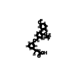 COc1ccc(F)c(-c2ccc(COc3cccc([C@H](C)CC(=O)O)c3)cc2OC(F)(F)F)c1